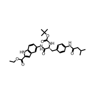 CCOC(=O)c1cc2cc(NC(=O)[C@H](Cc3ccc(NC(=O)CC(C)C)cc3)NC(=O)OC(C)(C)C)ccc2[nH]1